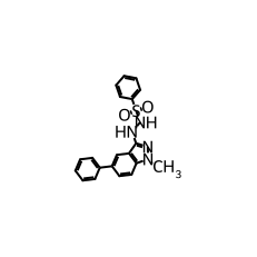 Cn1nc(NNS(=O)(=O)c2ccccc2)c2cc(-c3ccccc3)ccc21